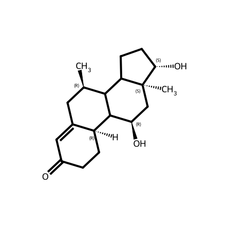 C[C@@H]1CC2=CC(=O)CC[C@@H]2C2C1C1CC[C@H](O)[C@@]1(C)C[C@H]2O